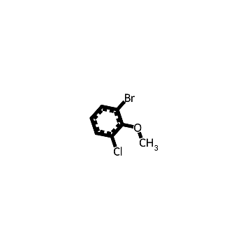 COc1c(Cl)cccc1Br